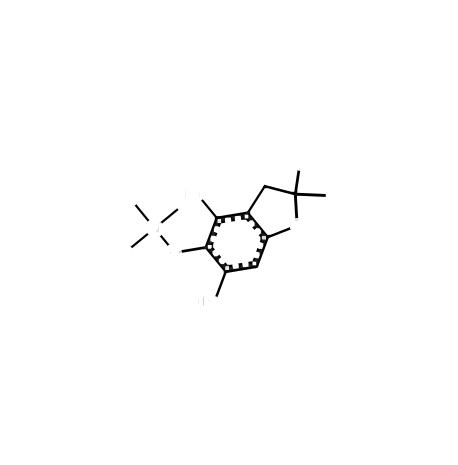 CC1(C=O)Cc2c(cc(C(C)(C)C)c(O[Si](C)(C)C)c2C(C)(C)C)O1